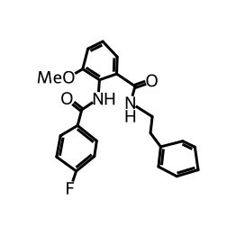 COc1cccc(C(=O)NCCc2ccccc2)c1NC(=O)c1ccc(F)cc1